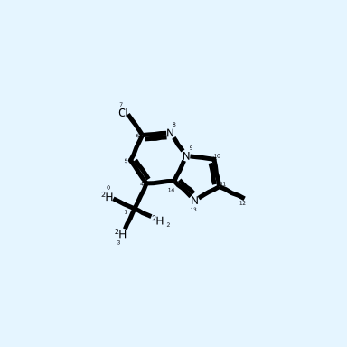 [2H]C([2H])([2H])c1cc(Cl)nn2cc(C)nc12